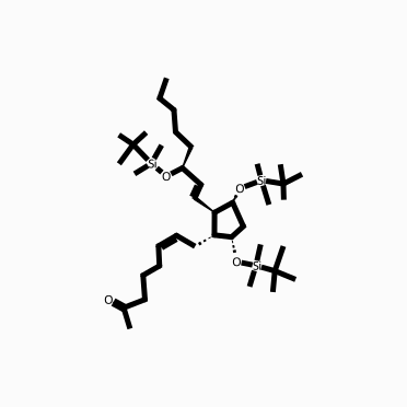 CCCCC[C@@H](/C=C/[C@@H]1[C@@H](C/C=C\CCCC(C)=O)[C@@H](O[Si](C)(C)C(C)(C)C)C[C@H]1O[Si](C)(C)C(C)(C)C)O[Si](C)(C)C(C)(C)C